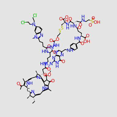 CC[C@H]1/C2=C/c3[nH]c4c(c3C)C(=O)C(C(=O)OC)/C4=C3N=C(/C=C4\NC(CC(=N2)[C@@H]1C)C(C(C)=O)=C4C)[C@@H](C)[C@@H]/3CCC(=O)NCCCC(NC(=O)CCCc1nc2ccc(N(CCCl)CCCl)cc2n1C)C(=O)NNC(=O)OCCSSC[C@H](NC(=O)[C@H](CC(=O)NCCS(=O)(=O)O)NC(=O)CC[C@H](NC(=O)c1ccc(NCc2cnc3nc(N)[nH]c(=O)c3n2)cc1)C(=O)O)C(=O)O